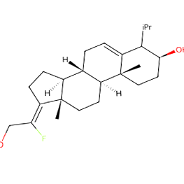 CC(C)C1C2=CC[C@@H]3[C@H](CC[C@]4(C)C(=C(F)CO)CC[C@@H]34)[C@@]2(C)CC[C@@H]1O